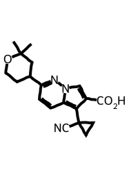 CC1(C)CC(c2ccc3c(C4(C#N)CC4)c(C(=O)O)cn3n2)CCO1